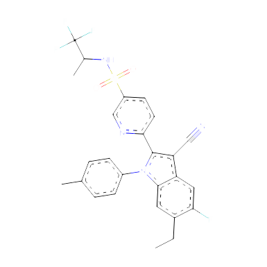 CCc1cc2c(cc1F)c(C#N)c(-c1ccc(S(=O)(=O)NC(C)C(F)(F)F)cn1)n2-c1ccc(C)cc1